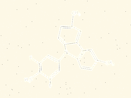 Cc1ccc2c(c1)c1cc(C)ccc1n2-c1cc(F)c(C)c(F)c1